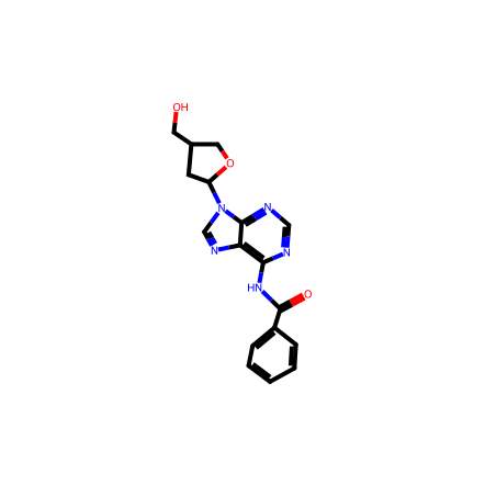 O=C(Nc1ncnc2c1ncn2C1CC(CO)CO1)c1ccccc1